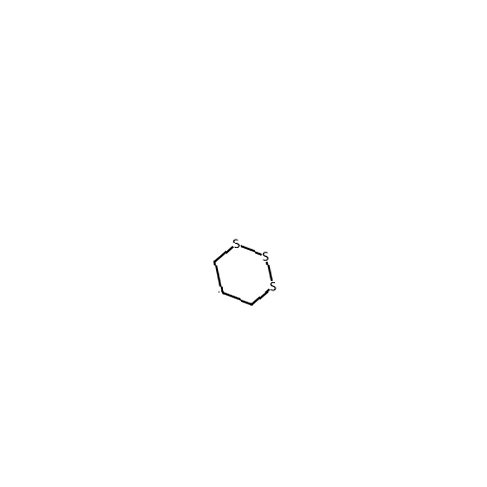 [CH]1CSSSC1